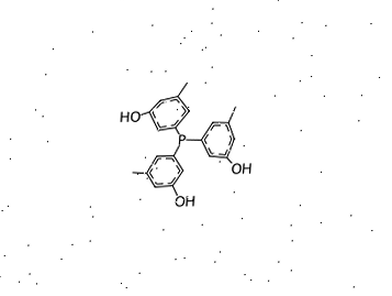 Cc1cc(O)cc(P(c2cc(C)cc(O)c2)c2cc(C)cc(O)c2)c1